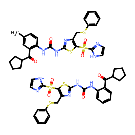 Cc1ccc(NC(=O)Nc2nc(CSc3ccccc3)c(S(=O)(=O)c3ncc[nH]3)s2)c(C(=O)C2CCCC2)c1.O=C(Nc1nc(CSc2ccccc2)c(S(=O)(=O)c2ncc[nH]2)s1)Nc1ccccc1C(=O)C1CCCC1